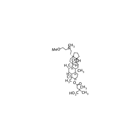 COCCN(C)CC[C@]12CCC[C@@H]1[C@H]1CCC3[C@@]4(C)CC[C@H](OC(=O)CC(C)(C)C(=O)O)C(C)(C)C4CC[C@@]3(C)[C@]1(C)CC2